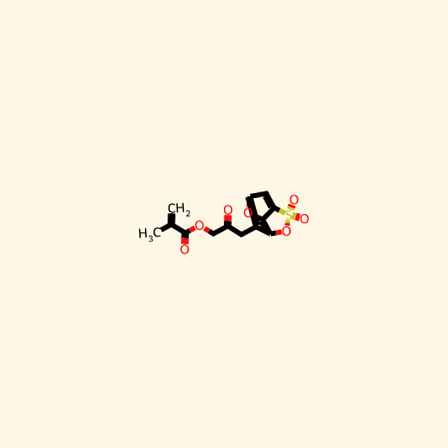 C=C(C)C(=O)OCC(=O)Cc1c2c3oc1cc3S(=O)(=O)O2